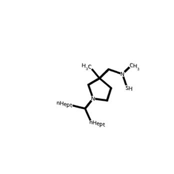 CCCCCCCC(CCCCCCC)N1CCC(C)(CN(C)S)C1